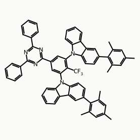 Cc1cc(C)c(-c2ccc3c(c2)c2ccccc2n3-c2cc(-c3nc(-c4ccccc4)nc(-c4ccccc4)n3)cc(-n3c4ccccc4c4cc(-c5c(C)cc(C)cc5C)ccc43)c2C(F)(F)F)c(C)c1